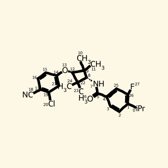 CC(C)c1ccc(C(=O)N[C@H]2C(C)(C)[C@H](Oc3ccc(C#N)c(Cl)c3)C2(C)C)cc1F